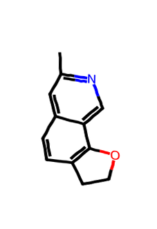 Cc1cc2ccc3c(c2cn1)OCC3